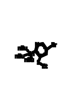 CCC[CH2][Sn]([CH2]CCC)([CH2]CCC)[c]1ncc(Br)cc1SCC